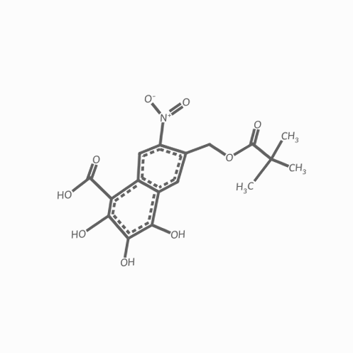 CC(C)(C)C(=O)OCc1cc2c(O)c(O)c(O)c(C(=O)O)c2cc1[N+](=O)[O-]